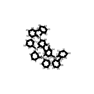 c1ccc(N2c3cccc(c3)N(c3ccccc3)c3cc(-n4c5ccccc5c5ccccc54)cc4sc5cc(-n6c7ccccc7c7ccccc76)cc2c5c34)cc1